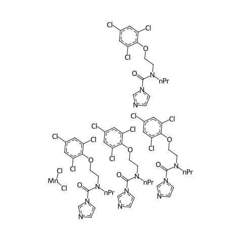 CCCN(CCOc1c(Cl)cc(Cl)cc1Cl)C(=O)n1ccnc1.CCCN(CCOc1c(Cl)cc(Cl)cc1Cl)C(=O)n1ccnc1.CCCN(CCOc1c(Cl)cc(Cl)cc1Cl)C(=O)n1ccnc1.CCCN(CCOc1c(Cl)cc(Cl)cc1Cl)C(=O)n1ccnc1.[Cl][Mn][Cl]